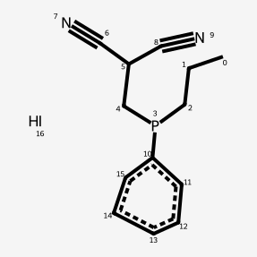 CCCP(CC(C#N)C#N)c1ccccc1.I